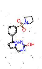 O=S(=O)(c1cccc(-c2ccc3cnc(O)nn23)c1)N1CCCC1